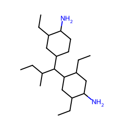 CCC(C)C(C1CCC(N)C(CC)C1)C1CC(CC)C(N)CC1CC